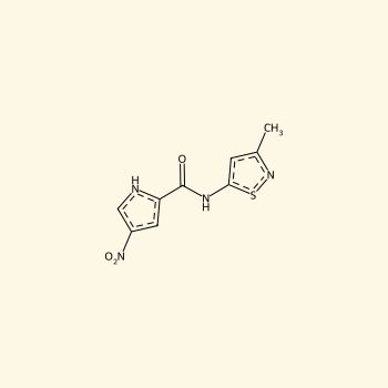 Cc1cc(NC(=O)c2cc([N+](=O)[O-])c[nH]2)sn1